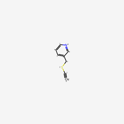 C#CSCc1cccnc1